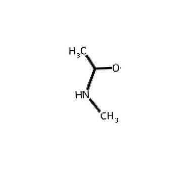 CNC(C)[O]